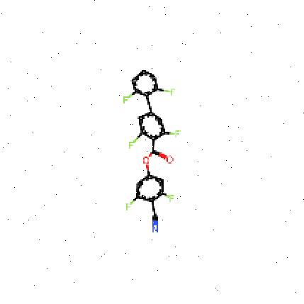 N#Cc1c(F)cc(OC(=O)c2c(F)cc(-c3c(F)cccc3F)cc2F)cc1F